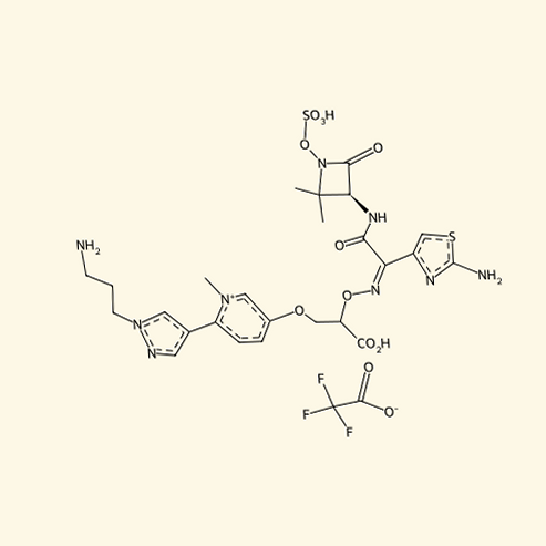 C[n+]1cc(OCC(O/N=C(\C(=O)N[C@@H]2C(=O)N(OS(=O)(=O)O)C2(C)C)c2csc(N)n2)C(=O)O)ccc1-c1cnn(CCCN)c1.O=C([O-])C(F)(F)F